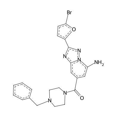 Nc1cc(C(=O)N2CCN(Cc3ccccc3)CC2)cc2nc(-c3ccc(Br)o3)nn12